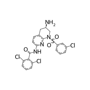 N[C@@H]1Cc2ccc(NC(=O)c3c(Cl)cccc3Cl)nc2N(S(=O)(=O)c2cccc(Cl)c2)C1